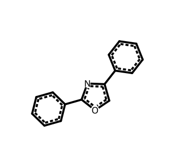 c1ccc(-c2coc(-c3ccccc3)n2)cc1